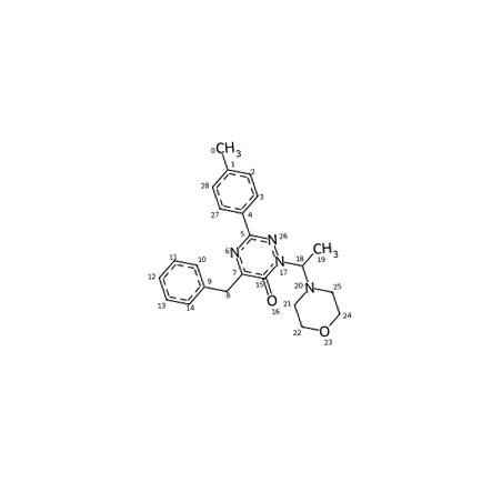 Cc1ccc(-c2nc(Cc3ccccc3)c(=O)n(C(C)N3CCOCC3)n2)cc1